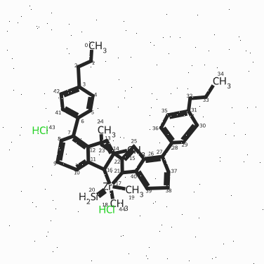 CCCc1ccc(-c2cccc3c2C=C(C)[CH]3[Zr]([CH3])([CH3])(=[SiH2])[CH]2C(CC)=Cc3c(-c4ccc(CCC)cc4)cccc32)cc1.Cl.Cl